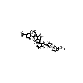 CN1CCC[C@@H](n2cc(-c3cc4c(-c5cccc(N6CCOc7cc(C8CC8)ccc7C6=O)c5CO)ncnc4[nH]3)cn2)C1